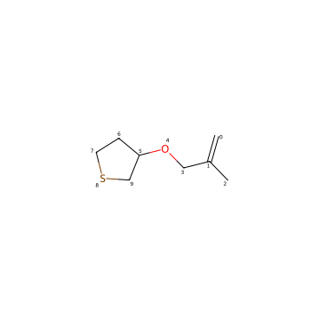 C=C(C)COC1CCSC1